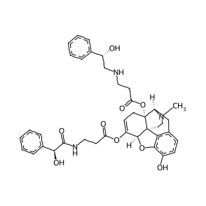 CN1CC[C@]23c4c5ccc(O)c4O[C@H]2C(OC(=O)CCNC(=O)[C@@H](O)c2ccccc2)=CC[C@@]3(OC(=O)CCNC[C@@H](O)c2ccccc2)[C@H]1C5